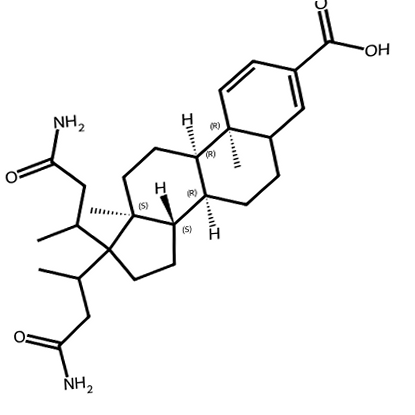 CC(CC(N)=O)C1(C(C)CC(N)=O)CC[C@H]2[C@@H]3CCC4C=C(C(=O)O)C=C[C@]4(C)[C@@H]3CC[C@@]21C